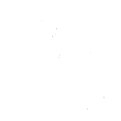 Cc1ccc(-c2ccc(OC(F)(F)F)c(I)c2)c(I)c1I